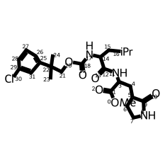 COC(=O)C(CC1CCNC1=O)NC(=O)C(CC(C)C)NC(=O)OCC(C)(C)c1cccc(Cl)c1